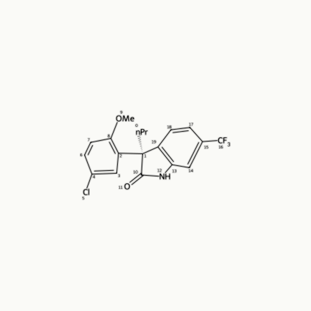 CCC[C@@]1(c2cc(Cl)ccc2OC)C(=O)Nc2cc(C(F)(F)F)ccc21